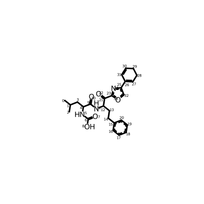 CC(C)CC(NC(=O)O)C(=O)NC(CCc1ccccc1)C(=O)c1nc(C2=CCCC=C2)co1